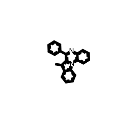 Cc1c2ccccc2n2c1c(-c1ccccc1)nc1ccccc12